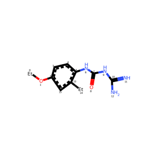 CCOc1ccc(NC(=O)NC(=N)N)c(CC)c1